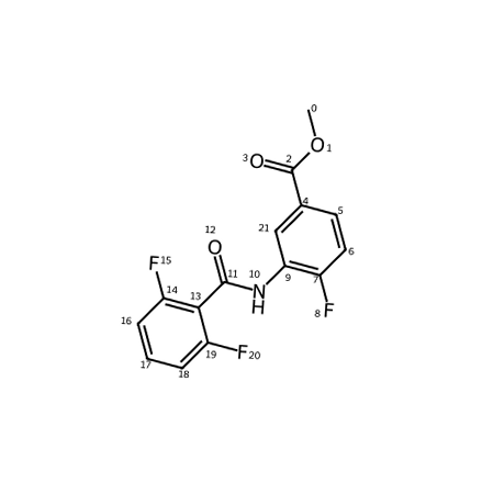 COC(=O)c1ccc(F)c(NC(=O)c2c(F)cccc2F)c1